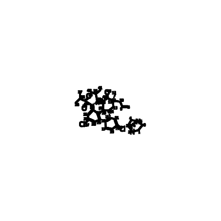 C1CN2CCN1CC2.C=CC[C@@]1(C)C[C@H](c2cccc(Cl)c2)[C@@H](c2ccc(Cl)cc2)N([C@H](CS(=O)(=O)C(C)C)C(C)C)C1=O